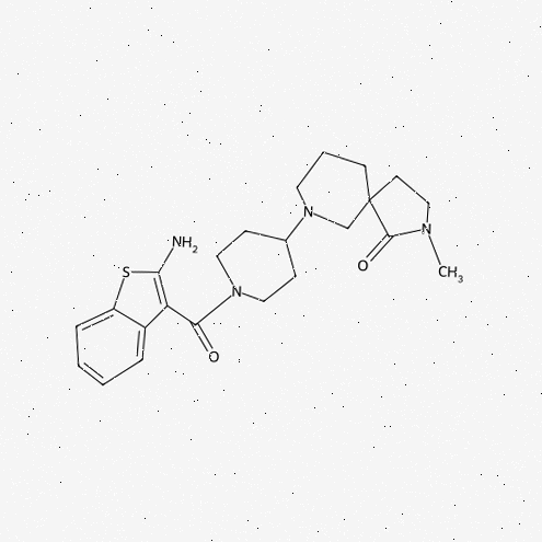 CN1CCC2(CCCN(C3CCN(C(=O)c4c(N)sc5ccccc45)CC3)C2)C1=O